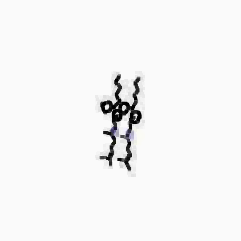 CCCCCC(=O)OC/C=C(\C)CCC=C(C)C.CCCCCC(=O)OC/C=C(\C)CCC=C(C)C